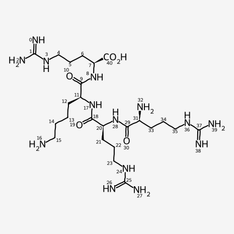 N=C(N)NCCC[C@H](NC(=O)[C@H](CCCCN)NC(=O)[C@H](CCCNC(=N)N)NC(=O)[C@@H](N)CCCNC(=N)N)C(=O)O